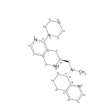 CN(C[C@@H]1Cc2c(ccnc2N2CCOCC2)CN1)[C@H]1CCCc2cccnc21